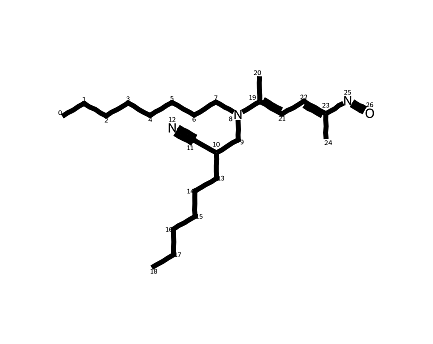 CCCCCCCCN(CC(C#N)CCCCCC)/C(C)=C/C=C(\C)N=O